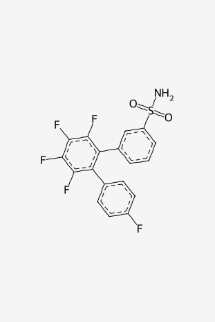 NS(=O)(=O)c1cccc(-c2c(F)c(F)c(F)c(F)c2-c2ccc(F)cc2)c1